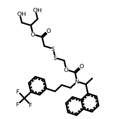 CC(c1cccc2ccccc12)N(CCCc1cccc(C(F)(F)F)c1)C(=O)OCSSCC(=O)OC(CO)CO